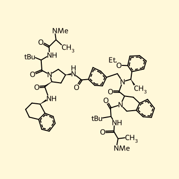 CCOc1ccccc1[C@@H](C)N(Cc1ccc(C(=O)N[C@H]2C[C@@H](C(=O)N[C@@H]3CCCc4ccccc43)N(C(=O)C(NC(=O)C(C)NC)C(C)(C)C)C2)cc1)C(=O)C1Cc2ccccc2CN1C(=O)C(NC(=O)C(C)NC)C(C)(C)C